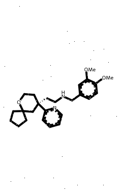 COc1ccc(CNCC[C@@]2(c3ccccn3)CCOC3(CCCC3)C2)cc1OC